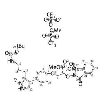 COP(=O)(OC)C(COc1ccc(-c2c[nH][n+](C)c2CCCNC(=O)OC(C)(C)C)cc1)ON1C(=O)c2ccccc2C1=O.COS(=O)(=O)C(F)(F)F.O=S(=O)([O-])C(F)(F)F